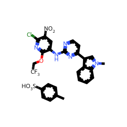 Cc1ccc(S(=O)(=O)O)cc1.Cn1cc(-c2ccnc(Nc3cc([N+](=O)[O-])c(Cl)nc3OCC(F)(F)F)n2)c2ccccc21